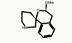 CO[C@H]1Cc2ccccc2[C@@]2(CCCNC2)O1